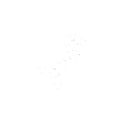 c1ccc(-c2cc(-c3ccccc3)nc(-c3ccc(-n4c5ccccc5c5c6c(ccc54)-c4cccc5cccc-6c45)cc3)n2)cc1